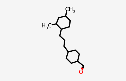 CC1CCC(CCCC2CCC(C=O)CC2)C(C)C1